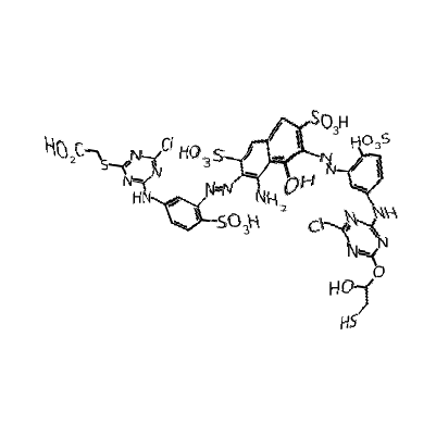 Nc1c(N=Nc2cc(Nc3nc(Cl)nc(SCC(=O)O)n3)ccc2S(=O)(=O)O)c(S(=O)(=O)O)cc2cc(S(=O)(=O)O)c(N=Nc3cc(Nc4nc(Cl)nc(OC(O)CS)n4)ccc3S(=O)(=O)O)c(O)c12